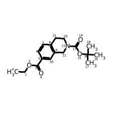 CCOC(=O)c1ccc2c(c1)CN(C(=O)OC(C)(C)C)CC2